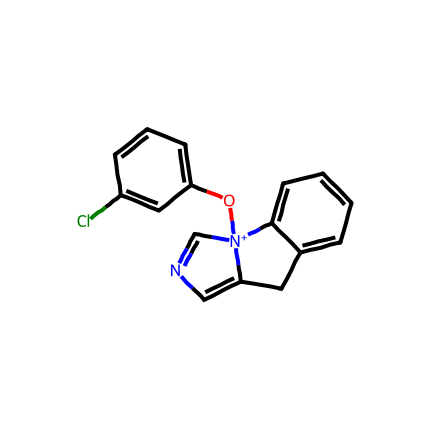 Clc1cccc(O[N+]23C=NC=C2Cc2ccccc23)c1